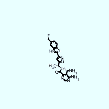 C[C@@H](NC(=O)c1ncnc(N)c1CN)c1cc(-c2nc3ccc(CF)cc3[nH]2)no1